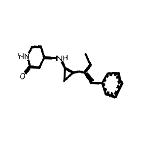 CC/C(=C\c1ccccc1)C1CC1NC1CCNC(=O)C1